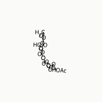 C=CC(=O)OCCOC(=O)c1cc(OC(=O)C2CCC(C(=O)Oc3ccc(O)c(C(=O)OCCOC(C)=O)c3)CC2)ccc1O